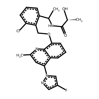 Cc1cc(-n2cc(F)cn2)c2cccc(OCc3c(Cl)cccc3C(C)NC(=O)[C@@H](C)O)c2n1